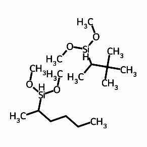 CCCCC(C)[SiH](OC)OC.CO[SiH](OC)C(C)C(C)(C)C